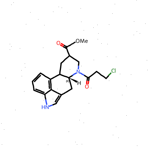 COC(=O)C1CC2c3cccc4[nH]cc(c34)C[C@H]2N(C(=O)CCCl)C1